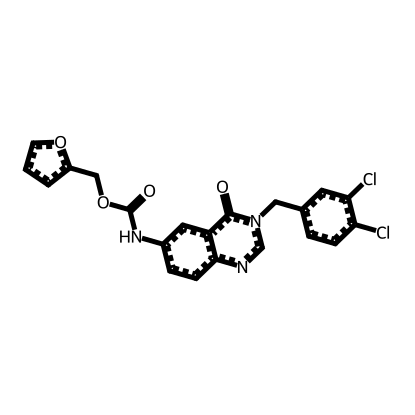 O=C(Nc1ccc2ncn(Cc3ccc(Cl)c(Cl)c3)c(=O)c2c1)OCc1ccco1